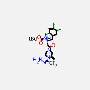 C=C1CN(C(=O)C[C@@H](CC2C[C@H](F)C(F)=C[C@@H]2F)NC(=O)OC(C)(C)C)CCN1/C(=N\N)C(F)(F)F